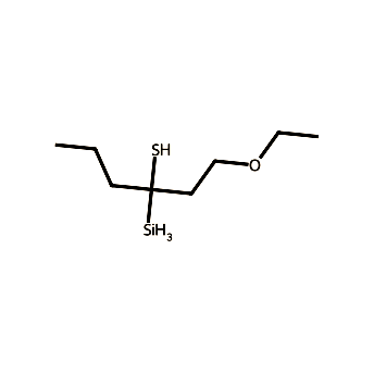 CCCC([SiH3])(S)CCOCC